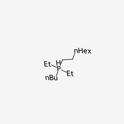 CCCCCCCC[PH](CC)(CC)CCCC